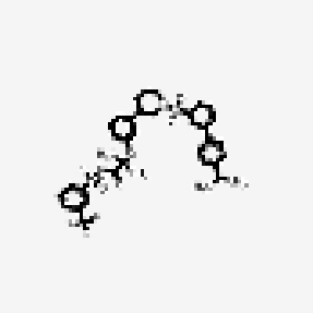 CC(C)c1ccc(-c2cccc(S(=O)(=O)N3CCCC(c4cccc(OC(C)(C)C(=O)NS(=O)(=O)c5cccc(C(F)(F)F)c5)c4)C3)c2)cc1